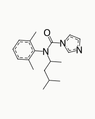 Cc1cccc(C)c1N(C(=O)n1ccnc1)C(C)CC(C)C